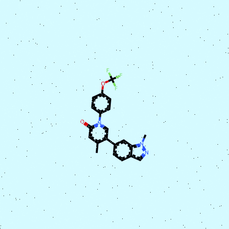 Cc1cc(=O)n(-c2ccc(OC(F)(F)F)cc2)cc1-c1ccc2cnn(C)c2c1